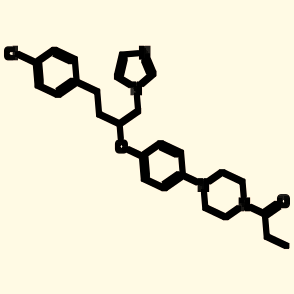 CCC(=O)N1CCN(c2ccc(OC(CCc3ccc(Cl)cc3)Cn3ccnc3)cc2)CC1